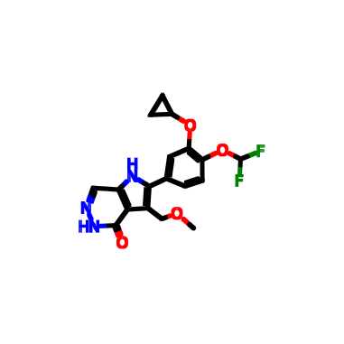 COCc1c(-c2ccc(OC(F)F)c(OC3CC3)c2)[nH]c2cn[nH]c(=O)c12